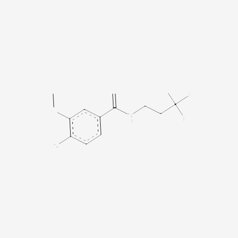 COc1cc(C(=O)NCCC(F)(F)F)ccc1N